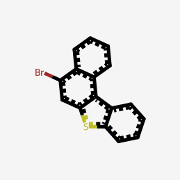 Brc1cc2sc3ccccc3c2c2ccccc12